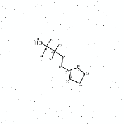 CC(C)(O)C(C)(C)CCC1=CCCC1